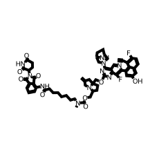 C#Cc1c(F)ccc2cc(O)cc(-c3ncc4c(N5CC6CCC(C5)N6)nc(OCC56CCC(COC(=O)N(C)CCCCCCCC(=O)Nc7cccc8c7C(=O)N(C7CCC(=O)NC7=O)C8=O)N5CC(=C)C6)nc4c3F)c12